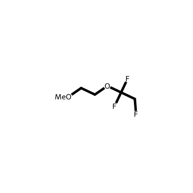 COCCOC(F)(F)CF